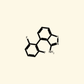 Nc1nsc2cccc(-c3c(F)cccc3F)c12